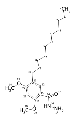 CCCCCCCCCCCc1cc(C(=O)NN)c(OC)cc1OC